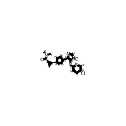 CN(C)C(=O)[C@H]1C[C@@H]1c1ccc(-c2ncn([11CH3])c2Sc2ccc(Cl)cn2)cc1